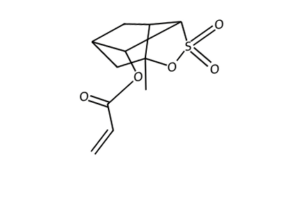 C=CC(=O)OC1C2CC3C1S(=O)(=O)OC3(C)C2